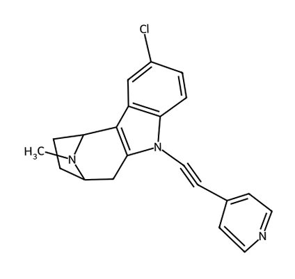 CN1C2CCC1c1c(n(C#Cc3ccncc3)c3ccc(Cl)cc13)C2